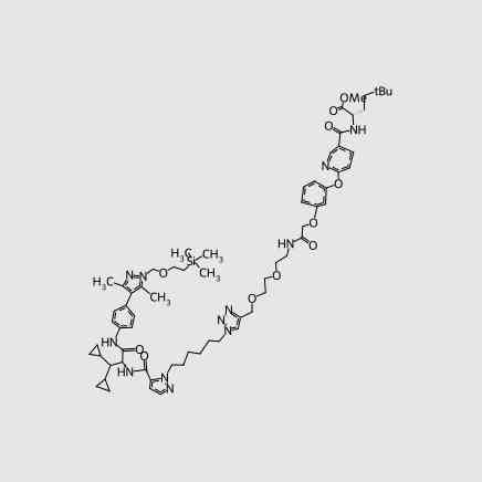 COC(=O)[C@H](CCC(C)(C)C)NC(=O)c1ccc(Oc2cccc(OCC(=O)NCCOCCOCc3cn(CCCCCCn4nccc4C(=O)N[C@H](C(=O)Nc4ccc(-c5c(C)nn(COCC[Si](C)(C)C)c5C)cc4)C(C4CC4)C4CC4)nn3)c2)nc1